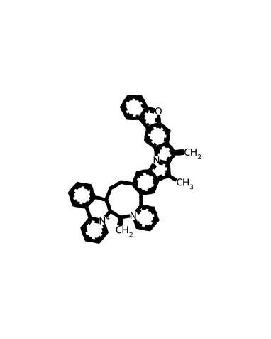 C=C1C2C(CCc3cc4c(cc3-c3cccc[n+]31)c(C)c1c(=C)c3cc5oc6ccccc6c5cc3n14)c1ccccc1-c1cccc[n+]12